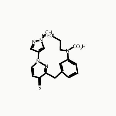 COCCN(C(=O)O)c1cccc(Cc2nn(-c3cnn(C)c3)ccc2=S)c1